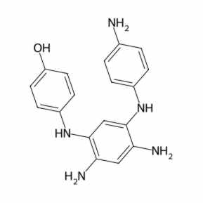 Nc1ccc(Nc2cc(Nc3ccc(O)cc3)c(N)cc2N)cc1